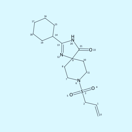 C=CCS(=O)(=O)N1CCC2(CC1)N=C(C1CCCCC1)NC2=O